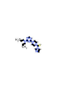 C=CCN(CC=C)c1ncnc(N2CCN(C(=S)n3ccnc3)CC2)n1